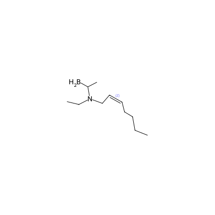 BC(C)N(CC)C/C=C\CCCC